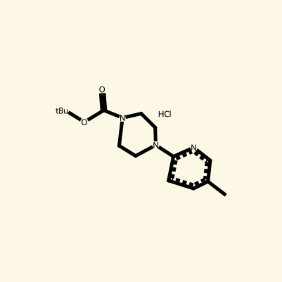 Cc1ccc(N2CCN(C(=O)OC(C)(C)C)CC2)nc1.Cl